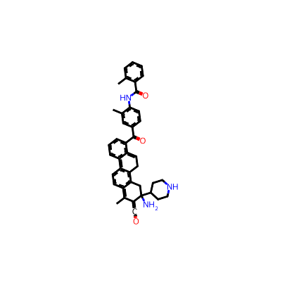 CC1=c2ccc3c(c2CC(N)(C2CCNCC2)C1=C=O)CC=c1c(C(=O)c2ccc(NC(=O)c4ccccc4C)c(C)c2)cccc1=3